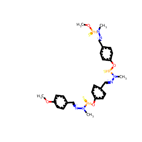 COc1ccc(/C=N/N(C)[PH](=S)Oc2ccc(/C=N/N(C)[PH](=S)Oc3ccc(/C=N/N(C)[PH](=S)OC)cc3)cc2)cc1